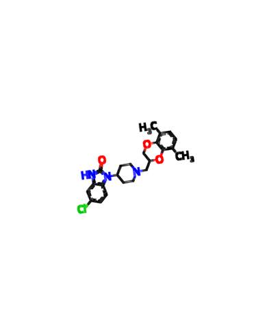 Cc1ccc(C)c2c1OCC(CN1CCC(n3c(=O)[nH]c4cc(Cl)ccc43)CC1)O2